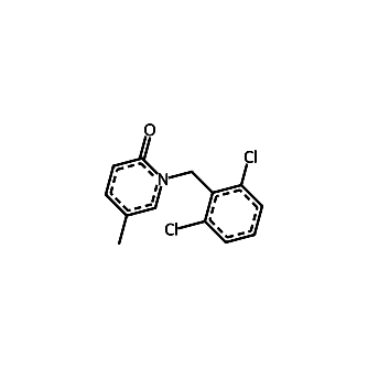 Cc1ccc(=O)n(Cc2c(Cl)cccc2Cl)c1